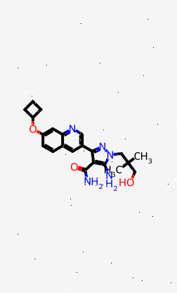 CC(C)(CO)Cn1nc(-c2cnc3cc(OC4CCC4)ccc3c2)c(C(N)=O)c1N